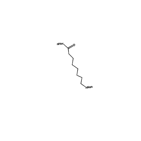 CCCCCCCCCCCCCCCCC(=O)CCCCCC